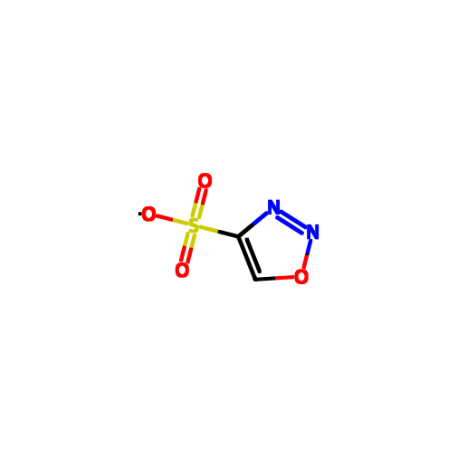 [O]S(=O)(=O)c1conn1